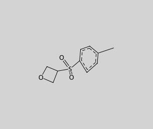 Cc1ccc(S(=O)(=O)C2COC2)cc1